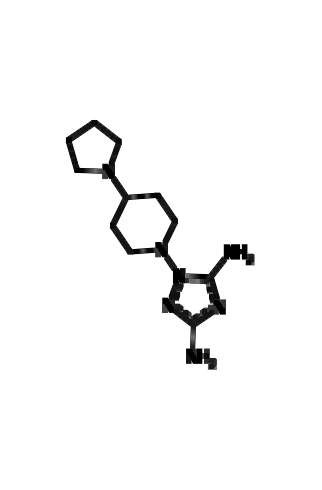 Nc1nc(N)n(N2CCC(N3CCCC3)CC2)n1